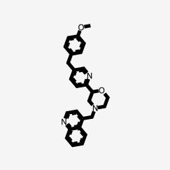 COc1ccc(Cc2ccc(C3CN(Cc4ccnc5ccccc45)CCO3)nc2)cc1